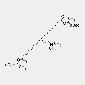 CCCCCCCCCCC(C)OC(=O)CCCCCCCN(CCCCCCCC(=O)OC(C)CCCCCCCCCC)CCN(C)C